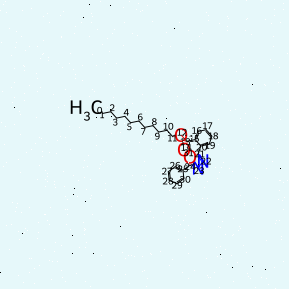 CCCCCCCCCCCCOC(=O)c1ccccc1-c1nnc(-c2ccccc2)o1